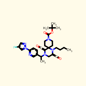 CCCCN1C(=C=O)CN(C(C)c2ccc(-n3cc(F)cn3)nc2)C(=C=O)C12CCN(C(=O)OC(C)(C)C)CC2